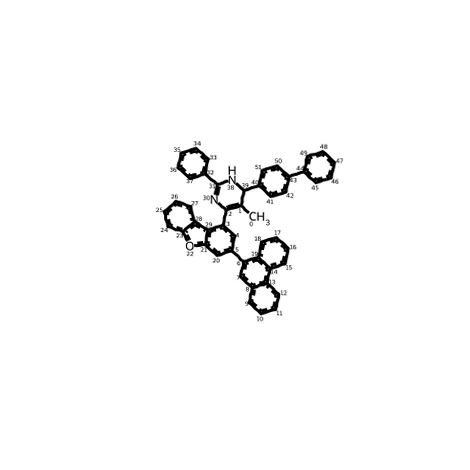 CC1=C(c2cc(-c3cc4ccccc4c4ccccc34)cc3oc4ccccc4c23)N=C(c2ccccc2)NC1c1ccc(-c2ccccc2)cc1